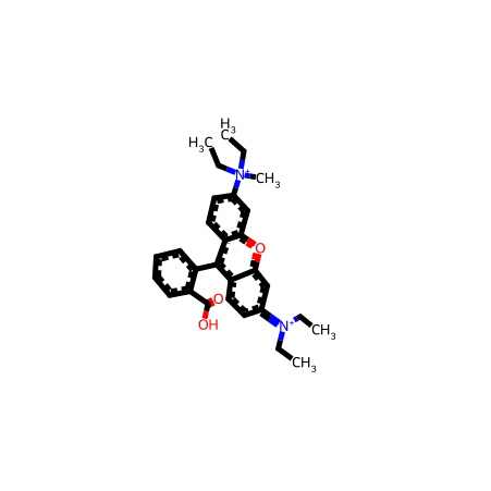 CC[N+](CC)=c1ccc2c(-c3ccccc3C(=O)O)c3ccc([N+](C)(CC)CC)cc3oc-2c1